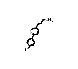 CCCCc1ccc(-c2ccc(Cl)cc2)nc1